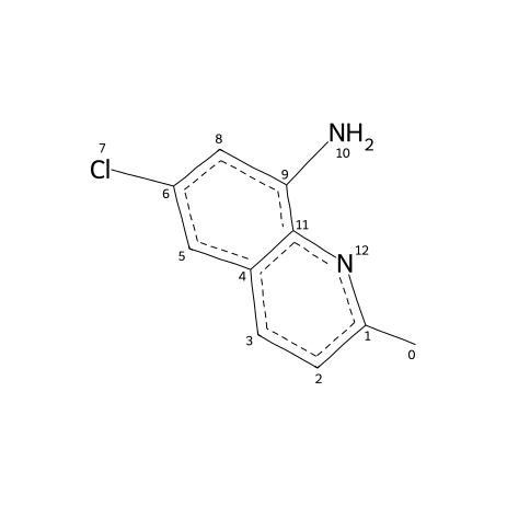 Cc1ccc2cc(Cl)cc(N)c2n1